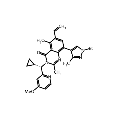 C=Cc1cc(-c2cn(CC)nc2C(F)(F)F)c2nc(C)n([C@H](c3cc(OC)ccn3)C3CC3)c(=O)c2c1C